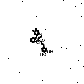 Cc1cc2ncc(NC(=O)C=Cc3ccc(O)c(O)c3)c(-c3ccccc3Cl)c2cc1C